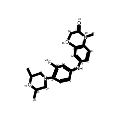 CC1CN(c2ccc(Nc3ccc4c(c3)OCC(=O)N4C)cc2F)CC(C)O1